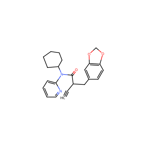 C#CC(Cc1ccc2c(c1)OCO2)C(=O)N(c1ccccn1)C1CCCCC1